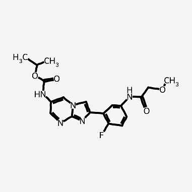 COCC(=O)Nc1ccc(F)c(-c2cn3cc(NC(=O)OC(C)C)cnc3n2)c1